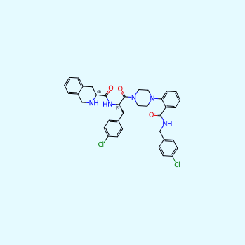 O=C(NCc1ccc(Cl)cc1)c1ccccc1N1CCN(C(=O)[C@@H](Cc2ccc(Cl)cc2)NC(=O)[C@@H]2Cc3ccccc3CN2)CC1